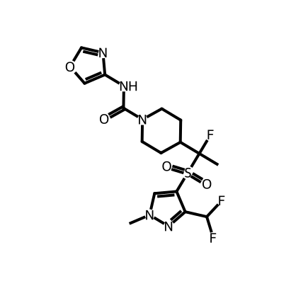 Cn1cc(S(=O)(=O)C(C)(F)C2CCN(C(=O)Nc3cocn3)CC2)c(C(F)F)n1